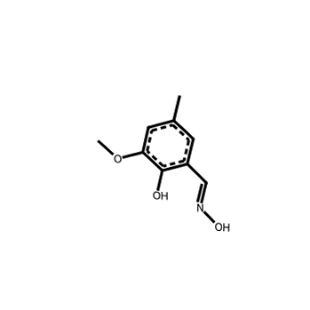 COc1cc(C)cc(C=NO)c1O